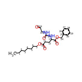 CCCCCCCCOC(=O)CCC(NC(=O)NCC=O)C(=O)OCc1ccccc1